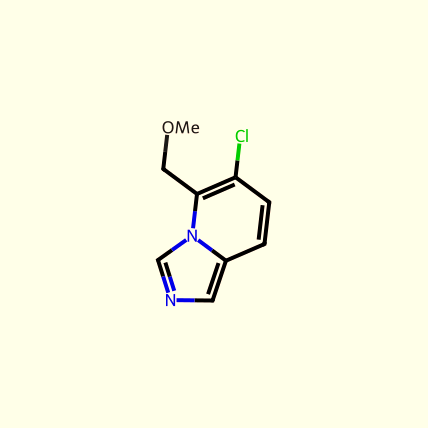 COCc1c(Cl)ccc2cncn12